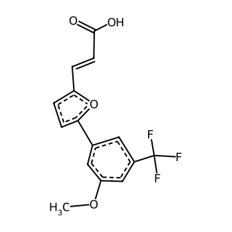 COc1cc(-c2ccc(C=CC(=O)O)o2)cc(C(F)(F)F)c1